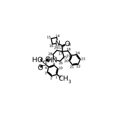 Cc1ccc(S(=O)(=O)O)cc1.O=C(N1CCC1)C1(Cc2ccccc2)CCNCC1